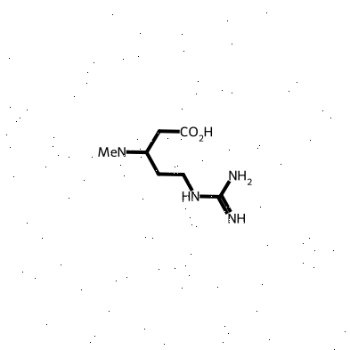 CNC(CCNC(=N)N)CC(=O)O